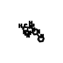 CC(N)c1ncnn1-c1cc(-c2ccccn2)ncn1